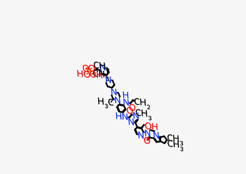 C=CC(=O)Nc1cc(Nc2nc(-c3ccnc(N4CCn5c(cc6c5CC(C)(C)C6)C4=O)c3CO)cn(C)c2=O)ccc1N1CCN(C2CCN(c3ccnc(C(C)(C)OP(=O)(O)O)c3)CC2)C[C@@H]1C